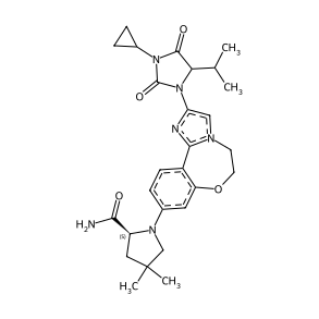 CC(C)C1C(=O)N(C2CC2)C(=O)N1c1cn2c(n1)-c1ccc(N3CC(C)(C)C[C@H]3C(N)=O)cc1OCC2